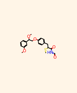 COc1cccc(C(COc2ccc(CC(SC)C(=O)NC=O)cc2)OC)c1